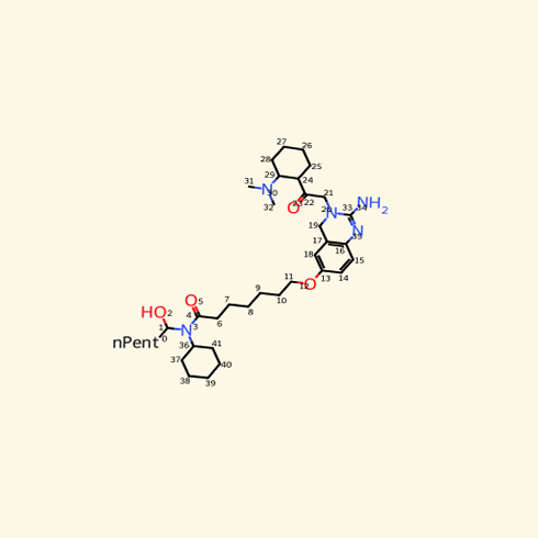 CCCCCC(O)N(C(=O)CCCCCCOc1ccc2c(c1)CN(CC(=O)C1CCCCC1N(C)C)C(N)=N2)C1CCCCC1